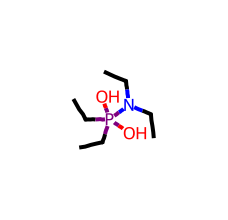 CCN(CC)P(O)(O)(CC)CC